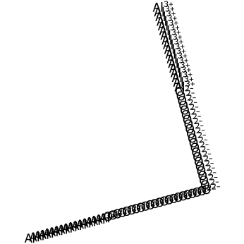 [Al+3].[Al+3].[Al+3].[Al+3].[Al+3].[Al+3].[Al+3].[Al+3].[Al+3].[Al+3].[Al+3].[Al+3].[Al+3].[Al+3].[Al+3].[Al+3].[Al+3].[Al+3].[Al+3].[Al+3].[Al+3].[Al+3].[Al+3].[Al+3].[Al+3].[Al+3].[Al+3].[Al+3].[Al+3].[Al+3].[Al+3].[Al+3].[Al+3].[Al+3].[Al+3].[O-2].[O-2].[O-2].[O-2].[O-2].[O-2].[O-2].[O-2].[O-2].[O-2].[O-2].[O-2].[O-2].[O-2].[O-2].[O-2].[O-2].[O-2].[O-2].[O-2].[O-2].[O-2].[O-2].[O-2].[O-2].[O-2].[O-2].[O-2].[O-2].[O-2].[O-2].[O-2].[O-2].[O-2].[O-2].[O-2].[O-2].[O-2].[O-2].[O-2].[O-2].[O-2].[O-2]